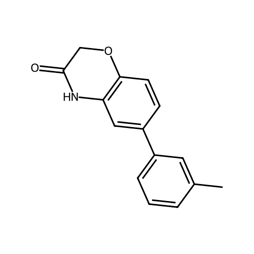 Cc1cccc(-c2ccc3c(c2)NC(=O)CO3)c1